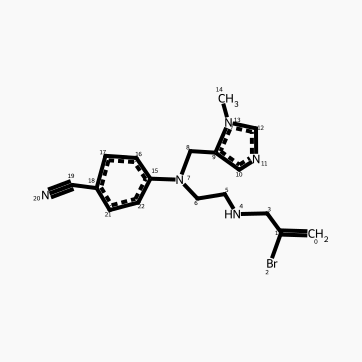 C=C(Br)CNCCN(Cc1cncn1C)c1ccc(C#N)cc1